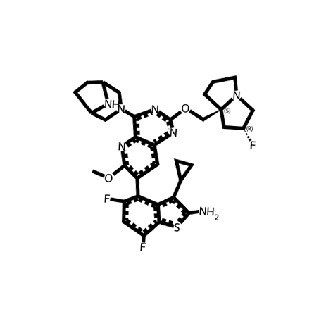 COc1nc2c(N3CC4CCC(C3)N4)nc(OC[C@@]34CCCN3C[C@H](F)C4)nc2cc1-c1c(F)cc(F)c2sc(N)c(C3CC3)c12